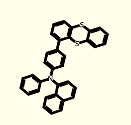 c1ccc(N(c2ccc(-c3cccc4c3Sc3ccccc3S4)cc2)c2cccc3ccccc23)cc1